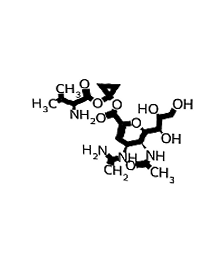 C=C(N)N[C@H]1C=C(C(=O)OC2(OC(=O)[C@@H](N)C(C)C)CC2)O[C@@H]([C@@H](O)[C@H](O)CO)[C@@H]1NC(C)=O